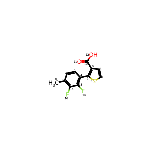 Cc1ccc(-c2sccc2C(=O)O)c(F)c1F